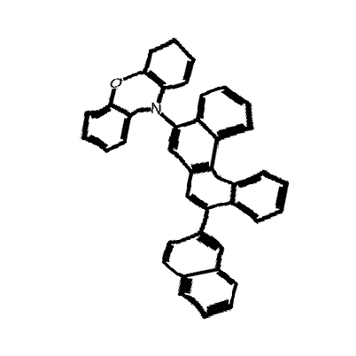 C1=CC2=C(CC1)Oc1ccccc1N2c1cc2cc(-c3ccc4ccccc4c3)c3ccccc3c2c2ccccc12